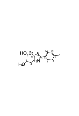 Cc1ccc(-c2nc(CCO)c(C(=O)O)s2)cc1